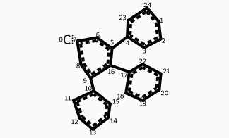 [C].c1ccc(-c2cccc(-c3ccccc3)c2-c2ccccc2)cc1